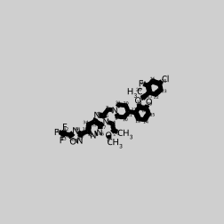 COC(C)Cn1c(CN2CCC(c3cccc4c3OC(C)(c3ccc(Cl)cc3F)O4)CC2)nc2cc(-c3noc(C(F)(F)F)n3)nnc21